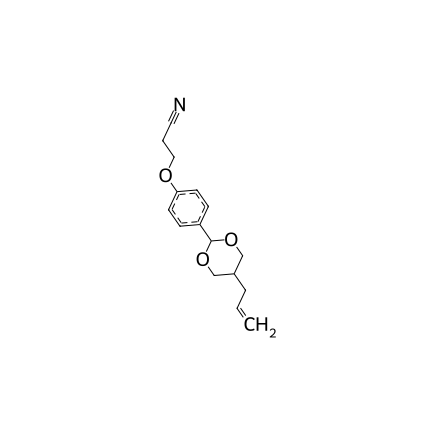 C=CCC1COC(c2ccc(OCCC#N)cc2)OC1